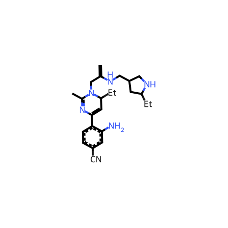 C=C(CN1C(C)=NC(c2ccc(C#N)cc2N)=CC1CC)NCC1CNC(CC)C1